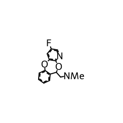 CNCC1Oc2ncc(F)cc2Oc2ccccc21